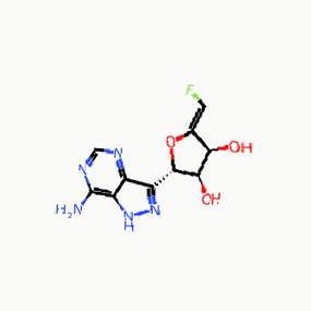 Nc1ncnc2c([C@@H]3O/C(=C\F)[C@@H](O)[C@H]3O)n[nH]c12